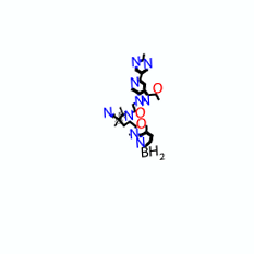 Bc1ccc(C)c(N(C)C(=O)C2C[C@](C)(C#N)[C@@H](C)N2C(=O)Cn2nc(C(C)=O)c3cc(-c4cnc(C)nc4)ncc32)n1